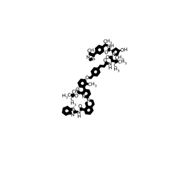 Cc1ncsc1-c1ccc([C@H](C)NC(=O)[C@@H]2C[C@@H](O)CN2C(=O)[C@@H](NC(=O)CCc2ccc(COc3cccc(-c4ccc(N5CCc6cccc(C(=O)Nc7nc8ccccc8s7)c6C5)nc4C(=O)OC(C)(C)C)c3C)cc2)C(C)(C)C)cc1